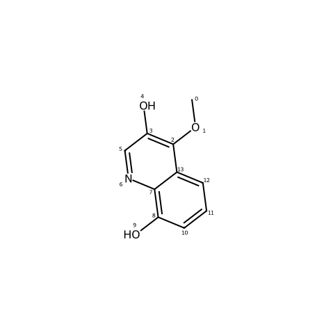 COc1c(O)cnc2c(O)cccc12